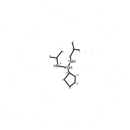 CC(C)CN[SiH](NC(C)C)C1CCCC1